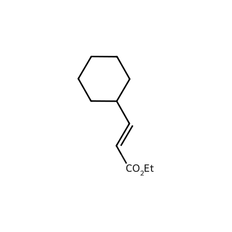 CCOC(=O)/C=C/C1CCCCC1